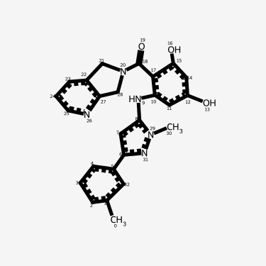 Cc1cccc(-c2cc(Nc3cc(O)cc(O)c3C(=O)N3Cc4cccnc4C3)n(C)n2)c1